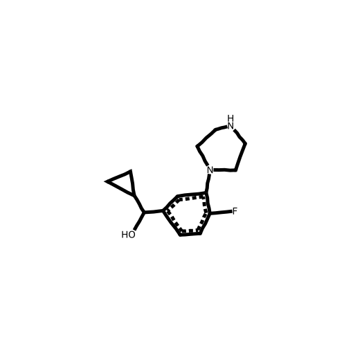 OC(c1ccc(F)c(N2CCNCC2)c1)C1CC1